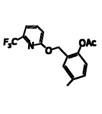 CC(=O)Oc1ccc(C)cc1COc1cccc(C(F)(F)F)n1